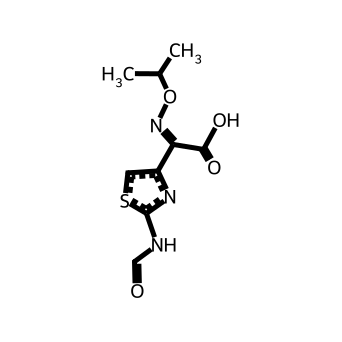 CC(C)ON=C(C(=O)O)c1csc(NC=O)n1